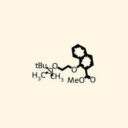 COC(=O)c1ccc2ccccc2c1OCCO[Si](C)(C)C(C)(C)C